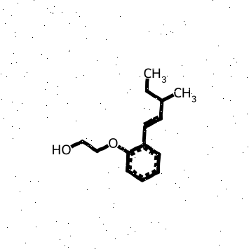 CCC(C)/C=C/c1ccccc1OCCO